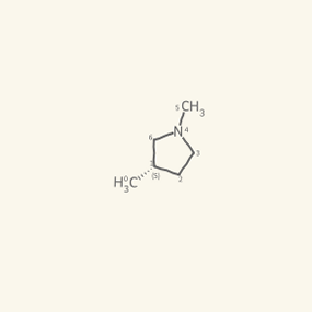 C[C@H]1CCN(C)C1